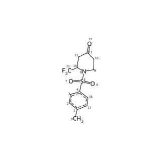 Cc1ccc(S(=O)(=O)N2CCC(=O)CC2C(F)(F)F)cc1